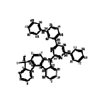 CC1(C)c2ccccc2-c2c1ccc1c2c2ccccc2n1-c1nc(-c2ccccc2)cc(-c2cccc(-c3ccccc3)c2)n1